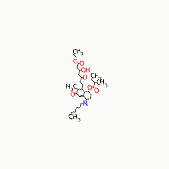 C=CCOC(=O)CC(O)CC(=O)CCC1C(C)C(=O)C=C2/C(=N\CCCCCC)CCC(OC(=O)C(C)CC)C21